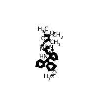 CC[C@H]1O[C@@H](n2cnc3c(NC(c4ccccc4)(c4ccccc4)c4ccc(OC)cc4)ncnc32)C(C)C1OC